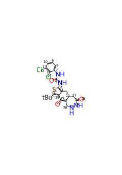 Cc1c(NC(=O)Nc2cccc(Cl)c2Cl)sc(C(C)(C)C)c1C(=O)C1CCC(=O)NNC1